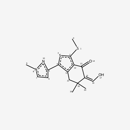 CSc1sc(-c2ccn(C)n2)c2c1C(=O)C(=CO)C(C)(C)C2